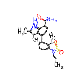 CC=CN(c1cccc(-c2ccc(C(N)=O)c3[nH]c(C)c(C)c23)c1C)[SH](=O)=O